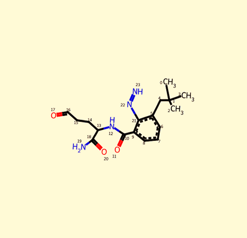 CC(C)(C)Cc1cccc(C(=O)NC(CCC=O)C(N)=O)c1N=N